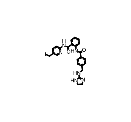 O=C(Nc1ccccc1C(=O)Nc1ccc(CI)cn1)c1ccc(CNC2=NCCN2)cc1